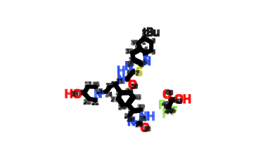 CC(C)(C)[C@H]1CCc2nc3sc(C(=O)N[C@H](CCN4CCC(O)CC4)c4ccc(-c5cnc(=O)[nH]c5)cc4)nc3cc2C1.O=C(O)C(F)(F)F